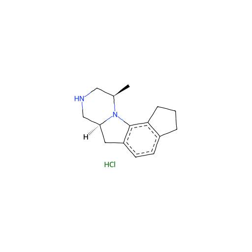 C[C@@H]1CNC[C@@H]2Cc3ccc4c(c3N21)CCC4.Cl